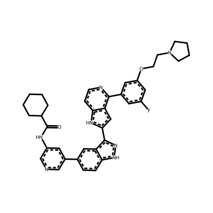 O=C(Nc1cncc(-c2ccc3[nH]nc(-c4cc5c(-c6cc(F)cc(OCCN7CCCC7)c6)nccc5[nH]4)c3c2)c1)C1CCCCC1